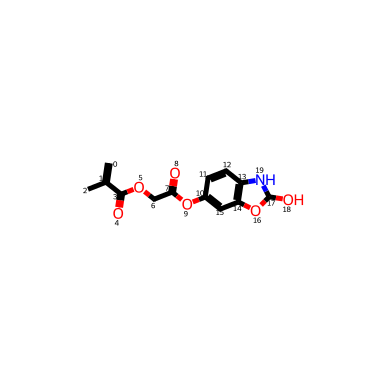 C=C(C)C(=O)OCC(=O)Oc1ccc2c(c1)OC(O)N2